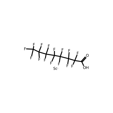 O=C(O)C(F)(F)C(F)(F)C(F)(F)C(F)(F)C(F)(F)C(F)(F)C(F)(F)F.[Sc]